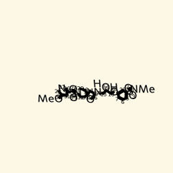 CNS(=O)(=O)c1cccc(OC[C@@H](O)CNC2COC3(CCN(S(=O)(=O)c4cncc(OC)c4)CC3)C2)c1